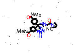 CNC(=O)c1ccc(C(C[C@H](C)NCC(=O)N2CCCC2C#N)(c2ccc(C(=O)NC)cc2)c2nn[nH]n2)cc1